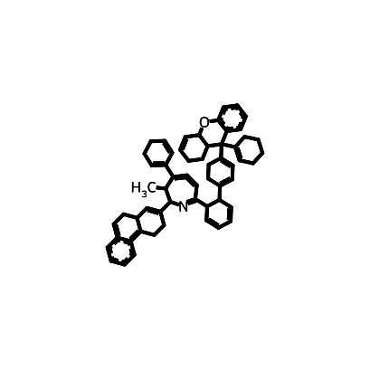 CC1C(C2=CCCC=C2)=C=CC(C2C=CC=CC2C2=CC=C(C3(C4=CCCCC4)c4ccccc4OC4C=CCCC43)CC2)=NC1C1=CC2CC=c3ccccc3=C2CC1